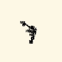 Cc1ncsc1-c1ccc([C@H](C)NC(=O)[C@@H]2C[C@@H](O)CN2C(=O)[C@@H](c2cc(OCCCCCC(=O)O)no2)C(C)C)cc1